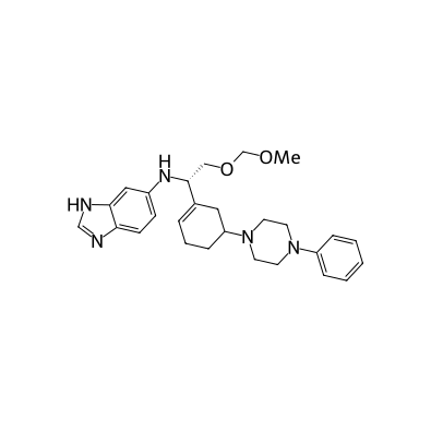 COCOC[C@@H](Nc1ccc2nc[nH]c2c1)C1=CCCC(N2CCN(c3ccccc3)CC2)C1